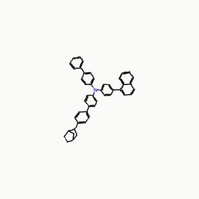 c1ccc(-c2ccc(N(c3ccc(-c4ccc(C5CC6CCC5C6)cc4)cc3)c3ccc(-c4cccc5ccccc45)cc3)cc2)cc1